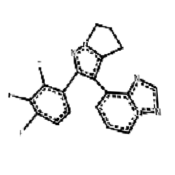 Fc1ccc(-c2nn3c(c2-c2cccn4ncnc24)CCC3)c(F)c1F